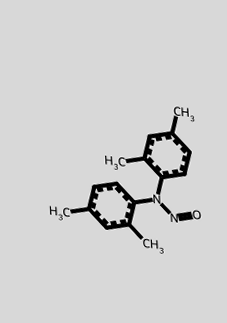 Cc1ccc(N(N=O)c2ccc(C)cc2C)c(C)c1